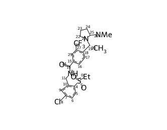 CCS(=O)(=O)c1ccc(Cl)cc1CNC(=O)c1ccc([C@@H](C)N2CCCC2NC)c(C(F)(F)F)c1